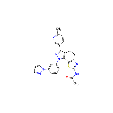 CC(=O)Nc1nc2c(s1)-c1c(c(-c3ccc(C)nc3)nn1-c1cccc(-n3cccn3)c1)CC2